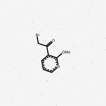 COc1ncccc1C(=O)CC(C)=O